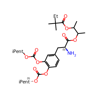 CCCC(C)OC(=O)Oc1cc(C[C@H](N)C(=O)OC(C)C(C)OC(=O)C(C)(C)CC)ccc1OC(=O)O[C@@H](C)CCC